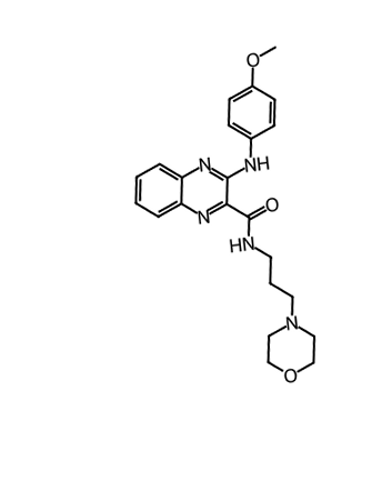 COc1ccc(Nc2nc3ccccc3nc2C(=O)NCCCN2CCOCC2)cc1